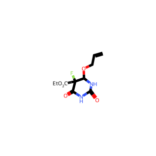 C=CCOC1NC(=O)NC(=O)C1(F)C(=O)OCC